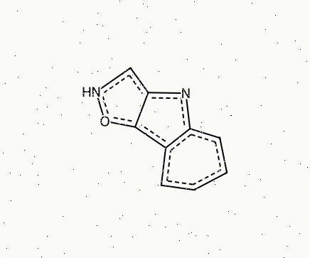 c1ccc2c3o[nH]cc-3nc2c1